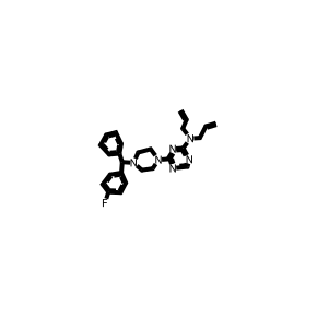 C=CCN(CC=C)c1ncnc(N2CCN(C(c3ccccc3)c3ccc(F)cc3)CC2)n1